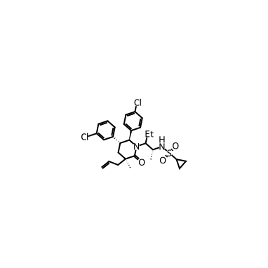 C=CC[C@@]1(C)C[C@H](c2cccc(Cl)c2)[C@@H](c2ccc(Cl)cc2)N(C(CC)[C@@H](C)NS(=O)(=O)C2CC2)C1=O